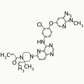 C=CC(=O)N1CCN(c2ccc3ncnc(Nc4ccc(Oc5cnc6c(c5)ncn6C)c(Cl)c4)c3n2)CC1(C)C